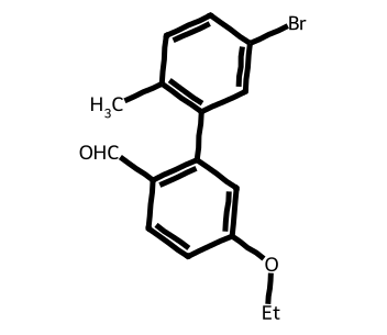 CCOc1ccc(C=O)c(-c2cc(Br)ccc2C)c1